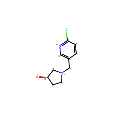 O[C@@H]1CCN(Cc2ccc(Cl)nc2)C1